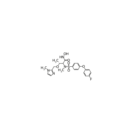 C[C@@H](OCc1nccn1C)C(C(=O)NO)N(C)S(=O)(=O)c1ccc(Oc2ccc(F)cc2)cc1